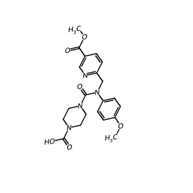 COC(=O)c1ccc(CN(C(=O)N2CCN(C(=O)O)CC2)c2ccc(OC)cc2)nc1